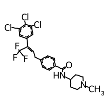 CN1CCC(NC(=O)c2ccc(CC=C(c3cc(Cl)c(Cl)c(Cl)c3)C(F)(F)F)cc2)CC1